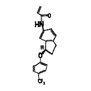 C=CC(=O)Nc1ccc2c(c1)[C@H](Oc1ccc(C(F)(F)F)cc1)CC2